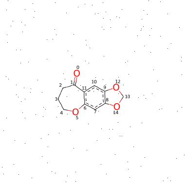 O=C1CCCOc2cc3c(cc21)OCO3